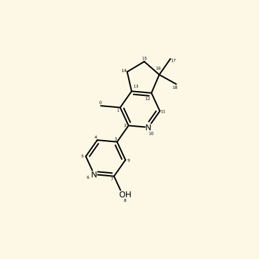 Cc1c(-c2ccnc(O)c2)ncc2c1CCC2(C)C